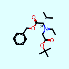 CCN(CC(=O)OC(C)(C)C)[C@H](C(=O)OCc1ccccc1)C(C)C